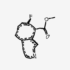 COC(=O)c1c(F)ccc2ccncc12